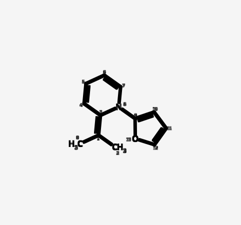 CC(C)=C1C=CC=CN1c1ccco1